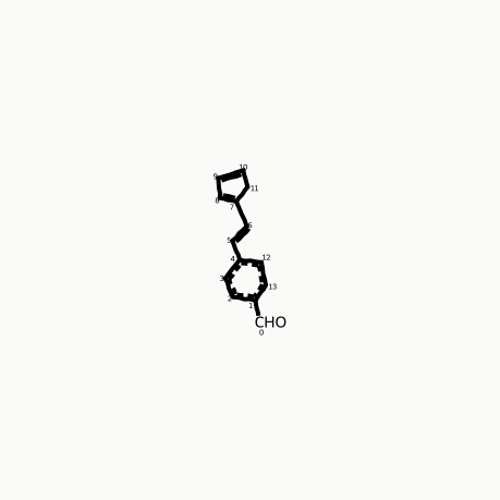 O=Cc1ccc(/C=C/C2=CC=CC2)cc1